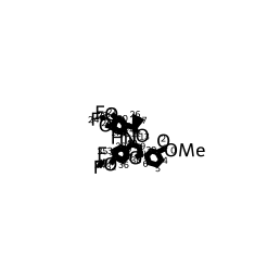 COC(=O)C1CCCC([C@H]2C[C@@H](NC(=O)C3(c4ccc5c(c4)OC(F)(F)O5)CC3)c3ccc(OC(F)F)cc3O2)C1